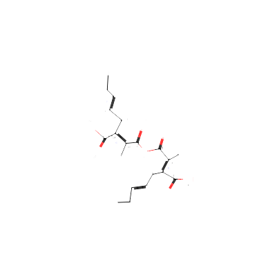 CC/C=C/C/C(C(=O)O)=C(/C)C(=O)OC(=O)/C(C)=C(\C/C=C/CC)C(=O)O